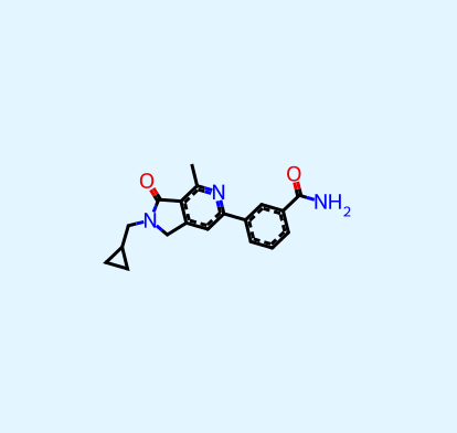 Cc1nc(-c2cccc(C(N)=O)c2)cc2c1C(=O)N(CC1CC1)C2